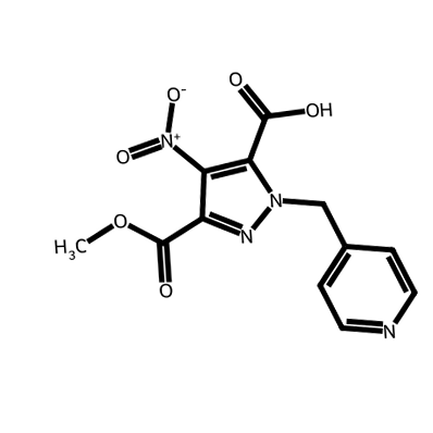 COC(=O)c1nn(Cc2ccncc2)c(C(=O)O)c1[N+](=O)[O-]